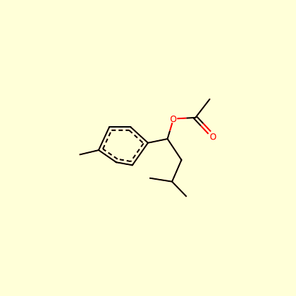 CC(=O)OC(CC(C)C)c1ccc(C)cc1